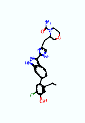 CCc1cc(O)c(F)cc1-c1ccc2c(-c3nc(CC4COCCN4C(N)=O)c[nH]3)n[nH]c2c1